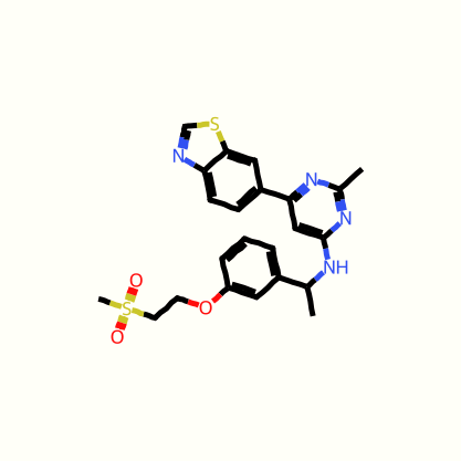 Cc1nc(NC(C)c2cccc(OCCS(C)(=O)=O)c2)cc(-c2ccc3ncsc3c2)n1